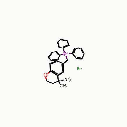 CC1(C)CCOc2ccc(C[P+](c3ccccc3)(c3ccccc3)c3ccccc3)cc21.[Br-]